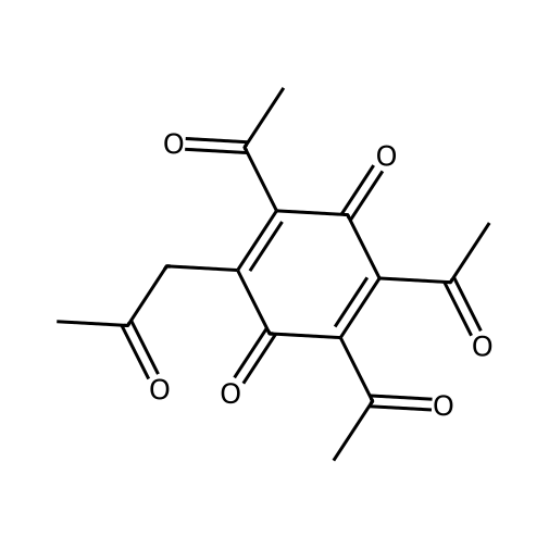 CC(=O)CC1=C(C(C)=O)C(=O)C(C(C)=O)=C(C(C)=O)C1=O